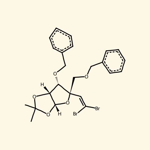 CC1(C)O[C@H]2O[C@](C=C(Br)Br)(COCc3ccccc3)[C@@H](OCc3ccccc3)[C@H]2O1